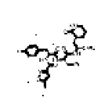 Cc1cc(C(=O)NC(Cc2ccc(F)cc2)C(=O)N[C@@H](CC(C)C)C(=O)N[C@H](C=O)C[C@@H]2CCCNC2=O)no1